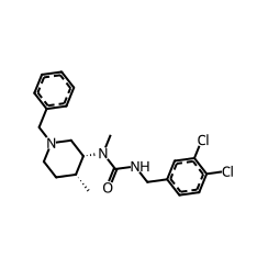 C[C@@H]1CCN(Cc2ccccc2)C[C@@H]1N(C)C(=O)NCc1ccc(Cl)c(Cl)c1